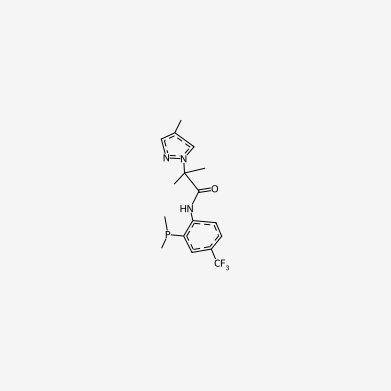 Cc1cnn(C(C)(C)C(=O)Nc2ccc(C(F)(F)F)cc2P(C)C)c1